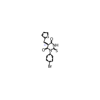 O=C1NC(=S)N(c2ccc(Br)cc2)C(=O)/C1=C/c1cccs1